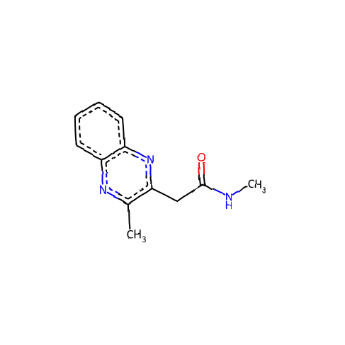 CNC(=O)Cc1nc2ccccc2nc1C